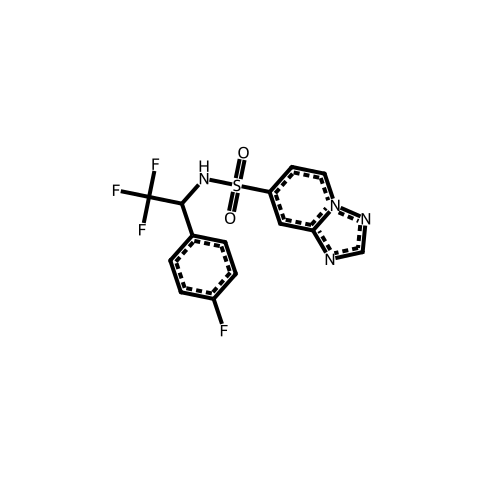 O=S(=O)(NC(c1ccc(F)cc1)C(F)(F)F)c1ccn2ncnc2c1